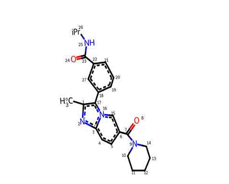 Cc1nc2ccc(C(=O)N3CCCCC3)cn2c1-c1cccc(C(=O)NC(C)C)c1